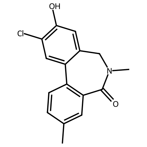 Cc1ccc2c(c1)C(=O)N(C)Cc1cc(O)c(Cl)cc1-2